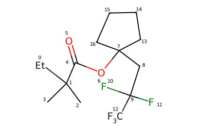 CCC(C)(C)C(=O)OC1(CC(F)(F)C(F)(F)F)CCCC1